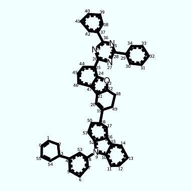 C1=CCC(c2cccc(-n3c4ccccc4c4cc(C5=Cc6c(oc7c(-c8nc(-c9ccccc9)nc(-c9ccccc9)n8)cccc67)CC5)ccc43)c2)C=C1